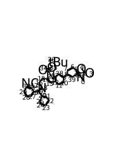 Cn1c(=O)oc2ccc(-c3ccc4cc(CC(C#N)N=C(c5ccccc5)c5ccccc5)n(C(=O)OC(C)(C)C)c4c3)cc21